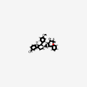 COc1ccc(C2c3[nH]c4ccc(Cl)cc4c3CCN2c2nc(C(=O)C(F)(F)F)c(-c3ccccc3)s2)cc1